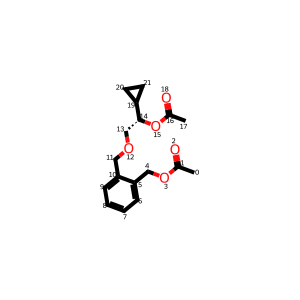 CC(=O)OCc1ccccc1COC[C@@H](OC(C)=O)C1CC1